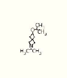 CC(C)OC1CC2(C1)CN(C(C)C)C2